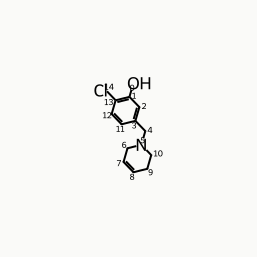 Oc1cc(CN2CC=CCC2)ccc1Cl